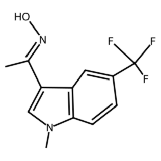 CC(=NO)c1cn(C)c2ccc(C(F)(F)F)cc12